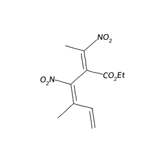 C=C/C(C)=C(\C(C(=O)OCC)=C(/C)[N+](=O)[O-])[N+](=O)[O-]